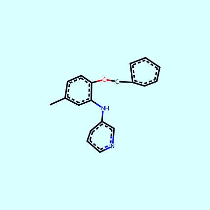 Cc1ccc(OCc2ccccc2)c(Nc2cccnc2)c1